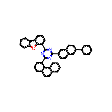 c1ccc(-c2ccc3cc(-c4nc(-c5cccc6c5oc5ccccc56)nc(-c5cccc6ccc7ccccc7c56)n4)ccc3c2)cc1